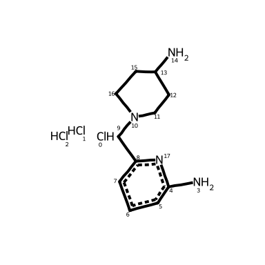 Cl.Cl.Cl.Nc1cccc(CN2CCC(N)CC2)n1